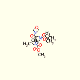 CCOC(=O)C(=O)N(CC(C)C)[C@H]1C[C@@H](C(=O)N2CCOCC2)CN(C(=O)OC(C)(C)C)C1